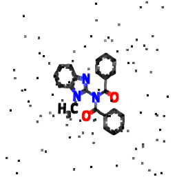 Cn1c(N(C(=O)c2ccccc2)C(=O)c2ccccc2)nc2ccccc21